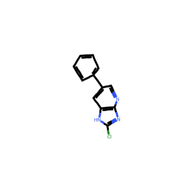 Clc1nc2ncc(-c3ccccc3)cc2[nH]1